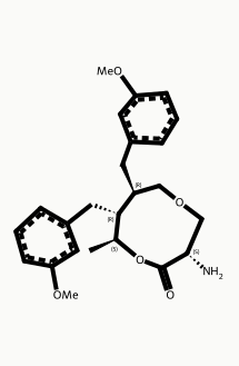 COc1cccc(C[C@H]2COC[C@H](N)C(=O)O[C@@H](C)[C@@H]2Cc2cccc(OC)c2)c1